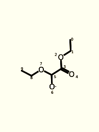 CCOC(=O)C([O])OCC